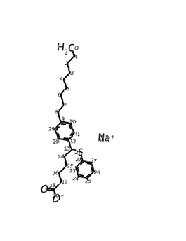 CCCCCCCCCc1ccc(C(CCCCC(=O)[O-])Sc2ccccc2)cc1.[Na+]